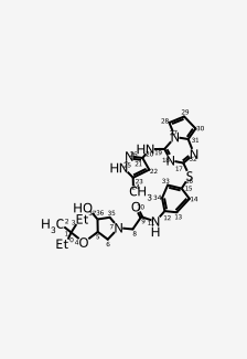 CCC(C)(CC)OC1CN(CC(=O)Nc2ccc(Sc3nc(Nc4cc(C)[nH]n4)n4cccc4n3)cc2)CC1O